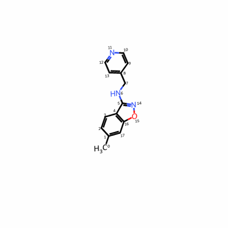 Cc1ccc2c(NCc3ccncc3)noc2c1